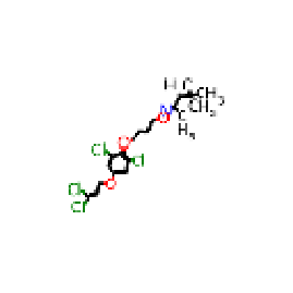 C/C(CC(C)(C)C)=N\OCCCCOc1c(Cl)cc(OCC=C(Cl)Cl)cc1Cl